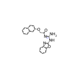 N/C(=N\C(=O)COc1ccc2ccccc2c1)Nc1nc2ccccc2o1